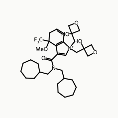 COC1(C(F)(F)F)CC=CC2=C1C(C(=O)N(CC1CCCCCC1)CC1CCCCCC1)=C[N+]2(CC1(O)COC1)CC1(O)COC1